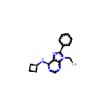 CCn1c(-c2ccccc2)nc2c(NC3CCC3)ncnc21